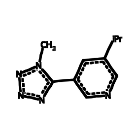 CC(C)c1cncc(-c2nnnn2C)c1